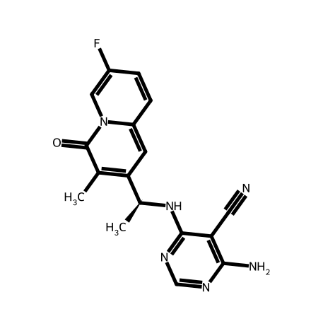 Cc1c([C@H](C)Nc2ncnc(N)c2C#N)cc2ccc(F)cn2c1=O